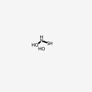 ONS.[OH]